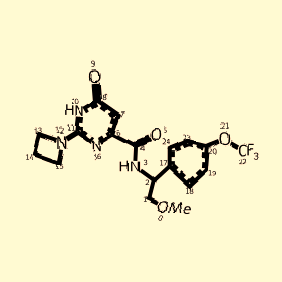 COCC(NC(=O)c1cc(=O)[nH]c(N2CCC2)n1)c1ccc(OC(F)(F)F)cc1